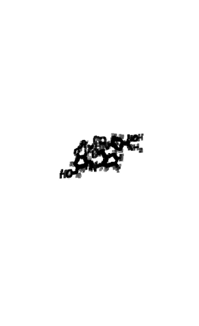 CCOC(=O)COc1c(CNc2cc(F)c(F)cc2C(=O)Nc2ccc(/C(N)=N/O)cc2)cc(CO)cc1OC(C)C